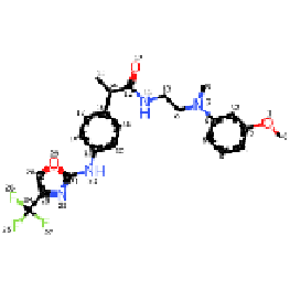 COc1cccc(N(C)CCNC(=O)C(C)c2ccc(Nc3nc(C(F)(F)F)co3)cc2)c1